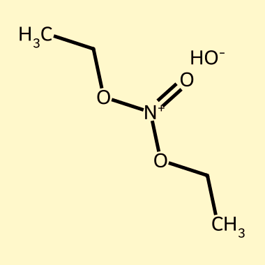 CCO[N+](=O)OCC.[OH-]